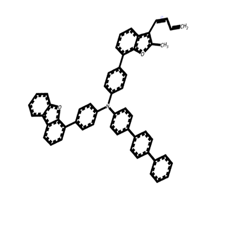 C=C/C=C\c1c(C)oc2c(-c3ccc(N(c4ccc(-c5ccc(-c6ccccc6)cc5)cc4)c4ccc(-c5cccc6c5oc5ccccc56)cc4)cc3)cccc12